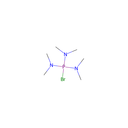 CN(C)[P](Br)(N(C)C)N(C)C